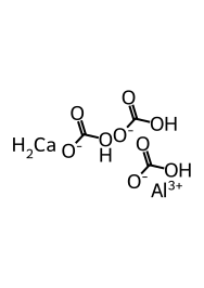 O=C([O-])O.O=C([O-])O.O=C([O-])O.[Al+3].[CaH2]